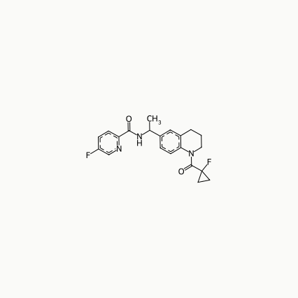 CC(NC(=O)c1ccc(F)cn1)c1ccc2c(c1)CCCN2C(=O)C1(F)CC1